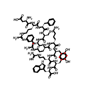 N=C(N)NCCC[C@H](NC(=O)[C@H](Cc1ccc(O)cc1)NC(=O)[C@@H](CCCCN)NC(=O)[C@@H](CCCNC(=N)N)NC(=O)[C@H](Cc1ccccc1)NC(=O)[C@H](CS)NC(=O)[C@@H](Cc1ccccc1)NC(=O)[C@H](CCCNC(=N)N)NC(=O)[C@@H](N)CC(=O)O)C(=O)N[C@H](Cc1ccc(O)cc1)C(=O)N[C@@H](Cc1c[nH]c2ccccc12)C(=O)O